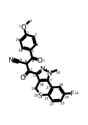 COc1ccc(C(=O)C(C#N)C(=O)c2nn(C)c3c2CSc2ccc(F)cc2-3)cc1